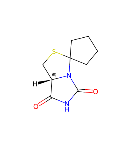 O=C1NC(=O)N2[C@H]1CSC21CCCC1